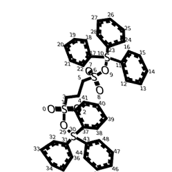 O=S(=O)(CCCS(=O)(=O)OS(c1ccccc1)(c1ccccc1)c1ccccc1)OS(c1ccccc1)(c1ccccc1)c1ccccc1